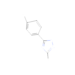 CCc1n[nH]c(-c2ccc(C(F)(F)F)cc2)n1